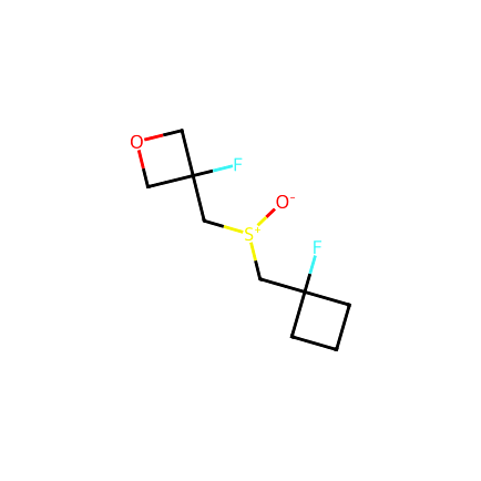 [O-][S+](CC1(F)CCC1)CC1(F)COC1